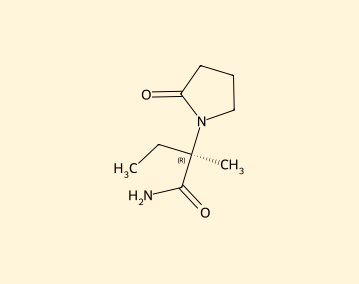 CC[C@](C)(C(N)=O)N1CCCC1=O